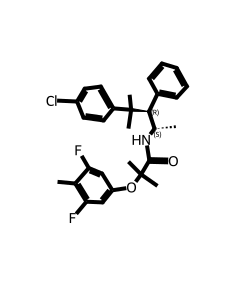 Cc1c(F)cc(OC(C)(C)C(=O)N[C@@H](C)[C@H](c2ccccc2)C(C)(C)c2ccc(Cl)cc2)cc1F